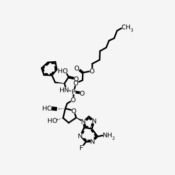 C#C[C@]1(CO[P@@](=O)(N[C@@H](Cc2ccccc2)C(=O)O)OCC(=O)OCCCCCCCC)O[C@@H](n2cnc3c(N)nc(F)nc32)C[C@@H]1O